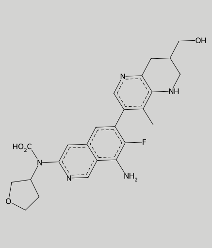 Cc1c(-c2cc3cc(N(C(=O)O)C4CCOC4)ncc3c(N)c2F)cnc2c1NCC(CO)C2